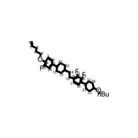 C=CCCCOc1ccc(C2CCC(CCc3ccc(C4CCC(OCCCC)CC4)c(F)c3F)CC2)cc1F